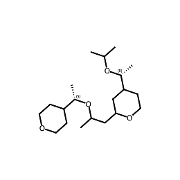 CC(C)O[C@H](C)C1CCOC(CC(C)O[C@@H](C)C2CCOCC2)C1